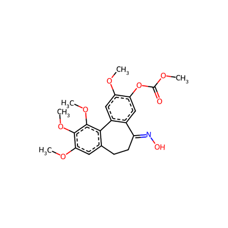 COC(=O)Oc1cc2c(cc1OC)-c1c(cc(OC)c(OC)c1OC)CCC2=NO